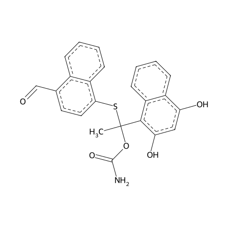 CC(OC(N)=O)(Sc1ccc(C=O)c2ccccc12)c1c(O)cc(O)c2ccccc12